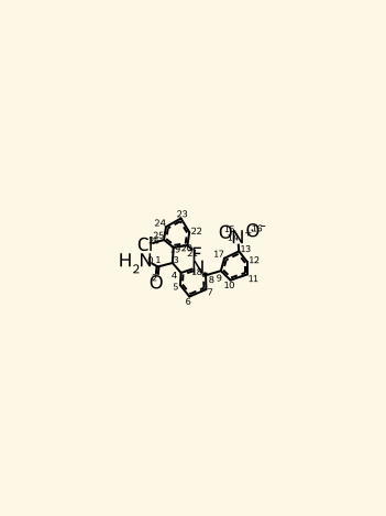 NC(=O)C(c1cccc(-c2cccc([N+](=O)[O-])c2)n1)c1c(F)cccc1Cl